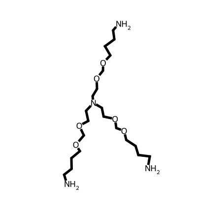 NCCCCOCOCCN(CCOCOCCCCN)CCOCOCCCCN